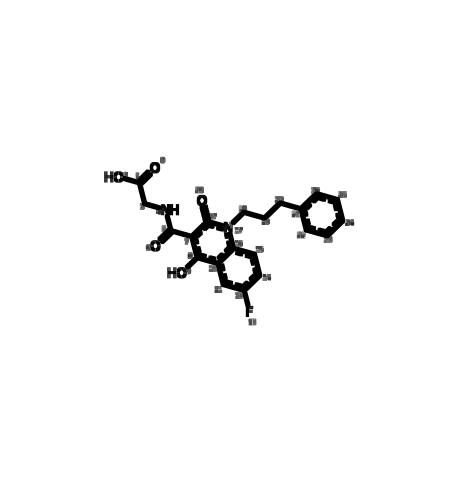 O=C(O)CNC(=O)c1c(O)c2cc(F)ccc2n(CCCc2ccccc2)c1=O